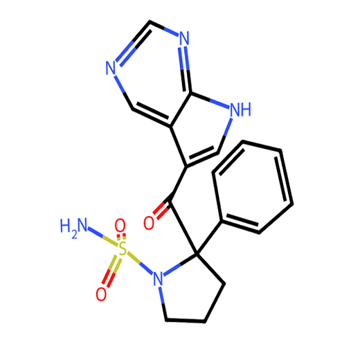 NS(=O)(=O)N1CCCC1(C(=O)c1c[nH]c2ncncc12)c1ccccc1